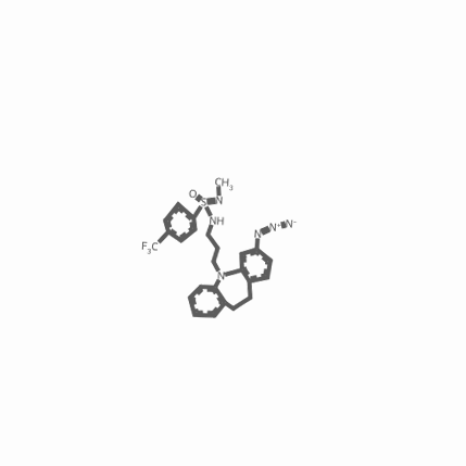 CN=S(=O)(NCCCN1c2ccccc2CCc2ccc(N=[N+]=[N-])cc21)c1ccc(C(F)(F)F)cc1